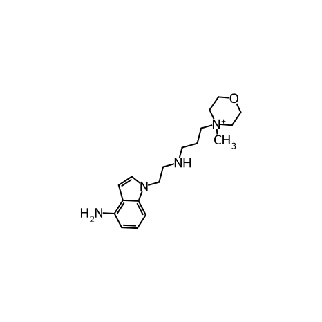 C[N+]1(CCCNCCn2ccc3c(N)cccc32)CCOCC1